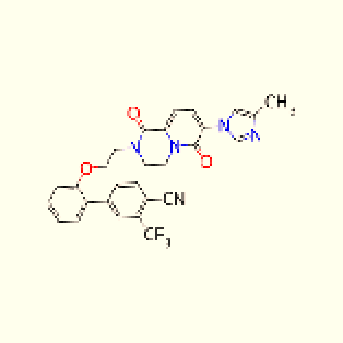 Cc1cn(-c2ccc3n(c2=O)CCN(CCOc2ccccc2-c2ccc(C#N)c(C(F)(F)F)c2)C3=O)cn1